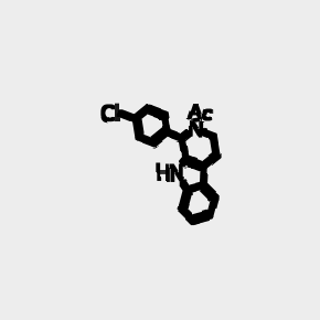 CC(=O)N1CCc2c([nH]c3ccccc23)C1c1ccc(Cl)cc1